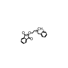 CN(CCON1C(=O)c2ccccc2C1=O)Cc1ccccc1